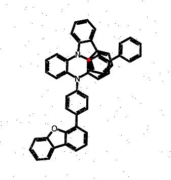 c1ccc(-c2ccc(N(c3ccc(-c4cccc5c4oc4ccccc45)cc3)c3ccccc3-n3c4ccccc4c4ccccc43)cc2)cc1